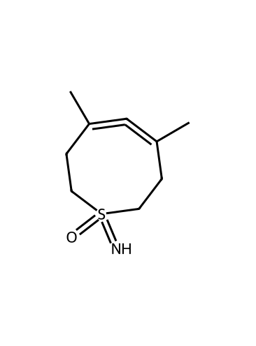 CC1=C=C(C)CCS(=N)(=O)CC1